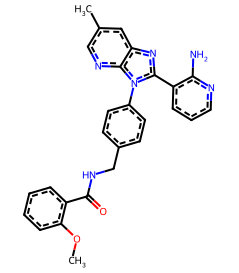 COc1ccccc1C(=O)NCc1ccc(-n2c(-c3cccnc3N)nc3cc(C)cnc32)cc1